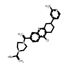 C=C(CCCC)N1CCN(C(=C)c2ccc3c(Cl)c4c(nc3c2)CC(c2ccnc(N)c2)CC4)CC1